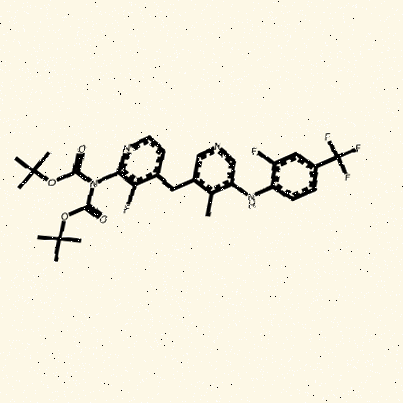 Cc1c(Cc2ccnc(N(C(=O)OC(C)(C)C)C(=O)OC(C)(C)C)c2F)cncc1Nc1ccc(C(F)(F)F)cc1F